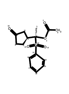 CC(=O)O[C@](F)([C@H]1CCC(=O)C1)S(=O)(=O)c1ccccc1